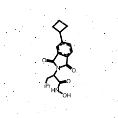 CC(C)CC(C(=O)NO)N1C(=O)c2ccc(C3CCC3)cc2C1=O